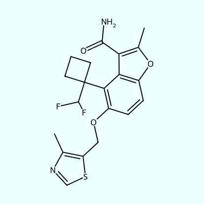 Cc1ncsc1COc1ccc2oc(C)c(C(N)=O)c2c1C1(C(F)F)CCC1